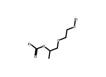 CCOCCOCC(C)OC(=O)CC